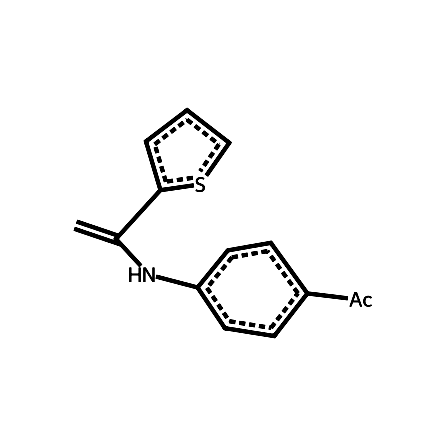 C=C(Nc1ccc(C(C)=O)cc1)c1cccs1